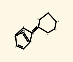 C1=CC2=CC1=CC2=C1CCCCC1